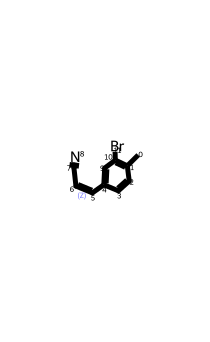 Cc1ccc(/C=C\C#N)cc1Br